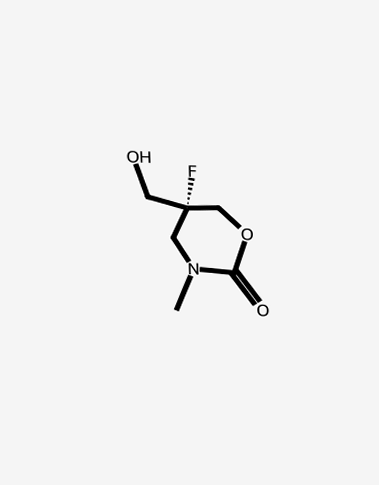 CN1C[C@@](F)(CO)COC1=O